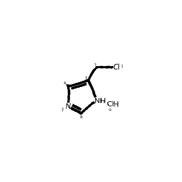 Cl.ClCc1cnc[nH]1